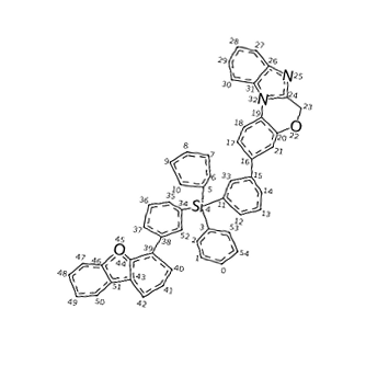 c1ccc([Si](c2ccccc2)(c2cccc(-c3ccc4c(c3)OCc3nc5ccccc5n3-4)c2)c2cccc(-c3cccc4c3oc3ccccc34)c2)cc1